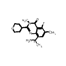 Cc1cc([C@@H](C)N)c2nc(C3CCOCC3)n(C)c(=O)c2c1F